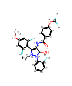 COc1cc(F)c(C2=C(NC(=O)c3ccc(OC(F)F)cc3)C(O)N(c3ccccc3F)N2C)c(F)c1